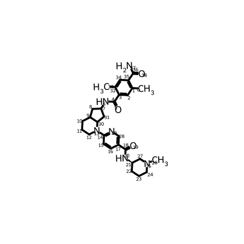 Cc1cc(C(=O)NC2CC3CCCN(c4ccc(C(=O)N[C@@H]5CCCN(C)C5)cn4)C3C2)c(C)cc1C(N)=O